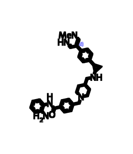 CN/C=C(\C=N)c1ccc(C2CC2NCC2CCN(Cc3ccc(C(=O)Nc4ccccc4N)cc3)CC2)cc1